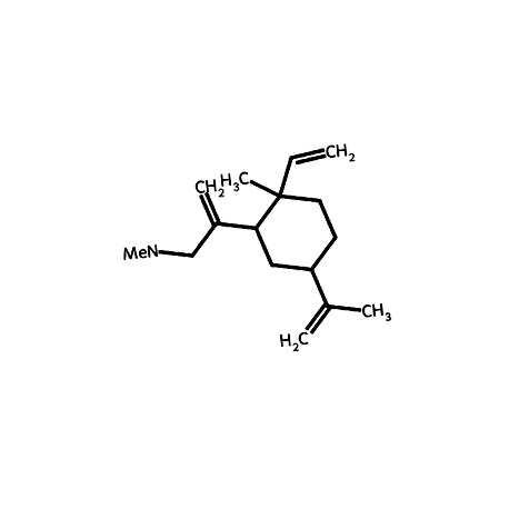 C=CC1(C)CCC(C(=C)C)CC1C(=C)CNC